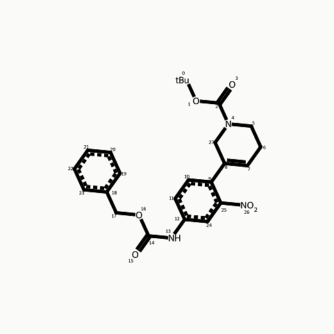 CC(C)(C)OC(=O)N1CCC=C(c2ccc(NC(=O)OCc3ccccc3)cc2[N+](=O)[O-])C1